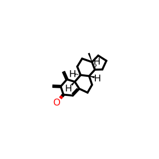 C=C1C(=C)[C@H]2C(=CC1=O)CC[C@@H]1[C@@H]2CC[C@]2(C)CCC[C@@H]12